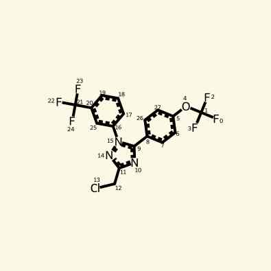 FC(F)(F)Oc1ccc(-c2nc(CCl)nn2-c2cccc(C(F)(F)F)c2)cc1